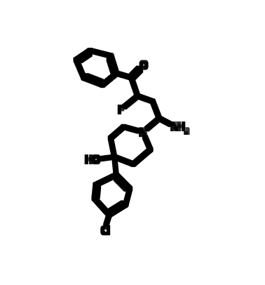 NC(CC(F)C(=O)c1ccccc1)N1CCC(O)(c2ccc(Cl)cc2)CC1